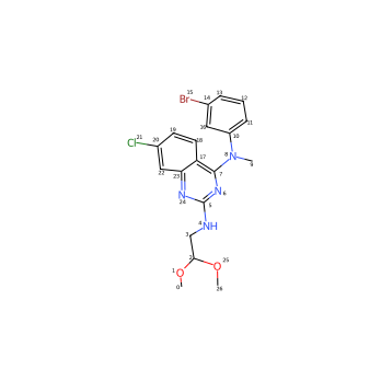 COC(CNc1nc(N(C)c2cccc(Br)c2)c2ccc(Cl)cc2n1)OC